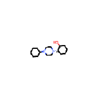 O[C@H]1CCCC[C@@H]1N1CCN(C2CCCCC2)CC1